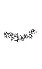 COCC[C@]12CC[C@@](C)(O)C[C@H]1CC[C@H]1[C@@H]3CC[C@H](C(=O)Cn4cc(S(C)(=O)=O)cn4)[C@@]3(C)CC[C@@H]12